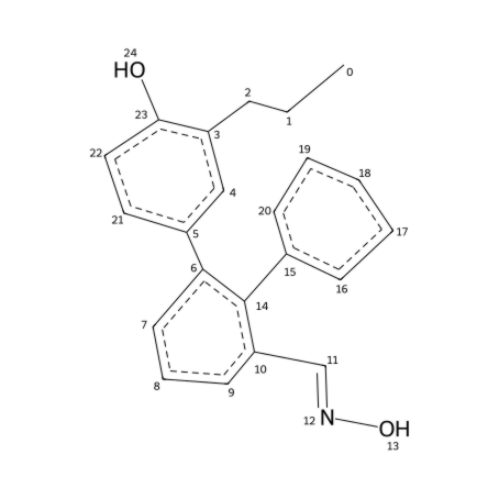 CCCc1cc(-c2cccc(C=NO)c2-c2ccccc2)ccc1O